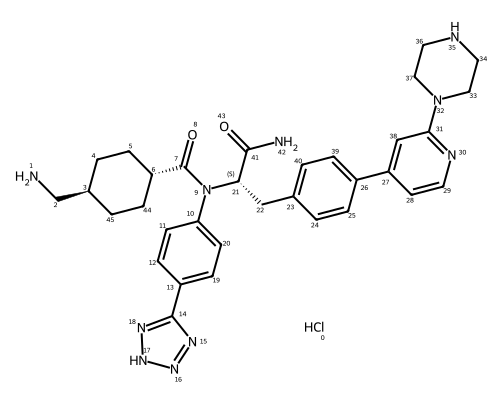 Cl.NC[C@H]1CC[C@H](C(=O)N(c2ccc(-c3nn[nH]n3)cc2)[C@@H](Cc2ccc(-c3ccnc(N4CCNCC4)c3)cc2)C(N)=O)CC1